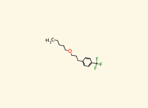 [CH2]CCCCOCCCc1ccc(C(F)(F)F)cc1